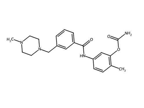 Cc1ccc(NC(=O)c2cccc(CN3CCN(C)CC3)c2)cc1OC(N)=O